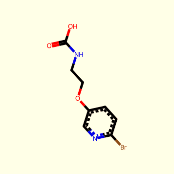 O=C(O)NCCOc1ccc(Br)nc1